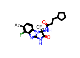 CC(=O)c1ccc2c(nc3n2C(NC(=O)CCC2CCCC2)(C(F)(F)F)C(=O)N3)c1F